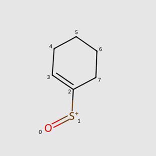 O=[S+]C1=CCCCC1